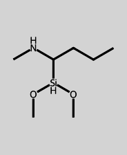 CCCC(NC)[SiH](OC)OC